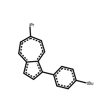 CC(C)c1ccc2ccc(-c3ccc(C(C)(C)C)cc3)c-2cc1